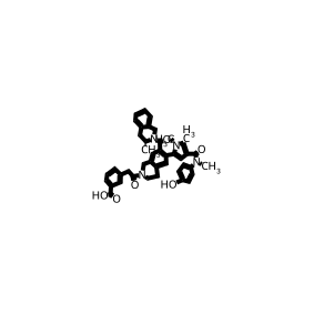 Cc1c(C(=O)N(C)c2ccc(O)cc2)cc(-c2cc3c(cc2C(=O)N2Cc4ccccc4C[C@H]2C)CN(C(=O)Cc2cccc(C(=O)O)c2)CC3)n1C